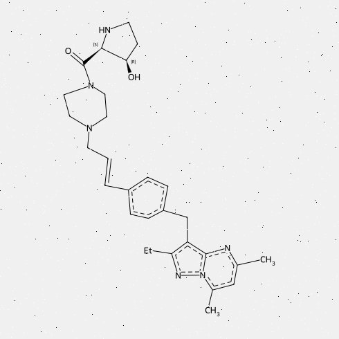 CCc1nn2c(C)cc(C)nc2c1Cc1ccc(C=CCN2CCN(C(=O)[C@H]3NCC[C@H]3O)CC2)cc1